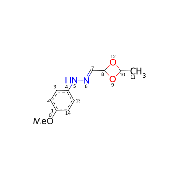 COc1ccc(N/N=C/C2OC(C)O2)cc1